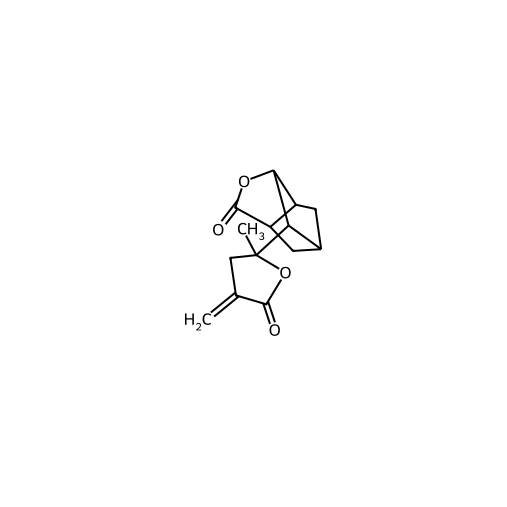 C=C1CC(C)(C2C3CC4C(=O)OC2C4C3)OC1=O